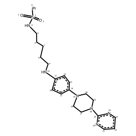 CC(C)S(=O)(=O)NCCCCCNc1ccc(N2CCN(c3ncccn3)CC2)cc1